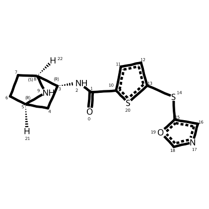 O=C(N[C@@H]1C[C@H]2CC[C@@H]1N2)c1ccc(Sc2cnco2)s1